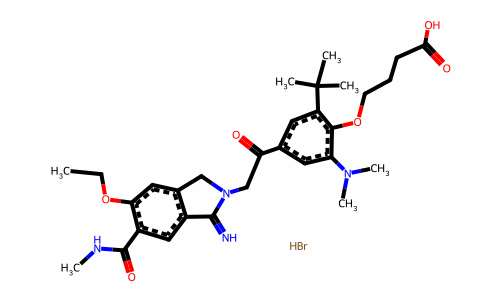 Br.CCOc1cc2c(cc1C(=O)NC)C(=N)N(CC(=O)c1cc(N(C)C)c(OCCCC(=O)O)c(C(C)(C)C)c1)C2